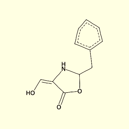 O=C1OC(Cc2ccccc2)N/C1=C/O